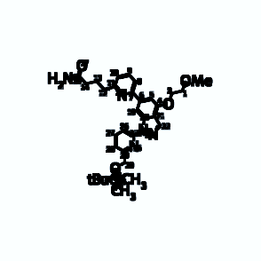 COCCOc1cc(-c2cccc([CH]CCC(N)=O)n2)cc2c1cnn2-c1cccc(CO[Si](C)(C)C(C)(C)C)n1